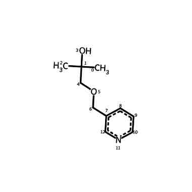 CC(C)(O)COCc1cccnc1